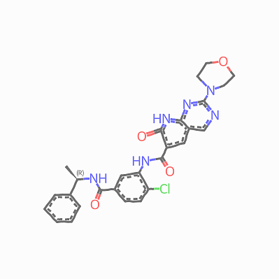 C[C@@H](NC(=O)c1ccc(Cl)c(NC(=O)c2cc3cnc(N4CCOCC4)nc3[nH]c2=O)c1)c1ccccc1